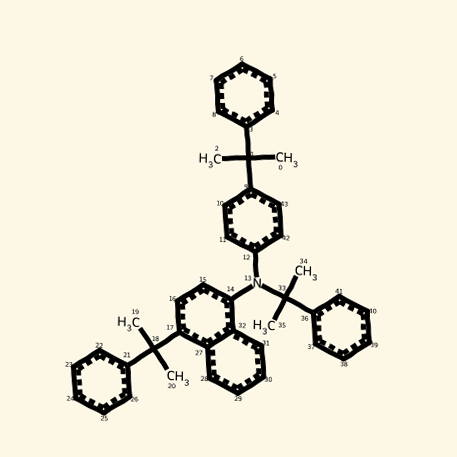 CC(C)(c1ccccc1)c1ccc(N(c2ccc(C(C)(C)c3ccccc3)c3ccccc23)C(C)(C)c2ccccc2)cc1